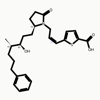 C[C@@H](CCCc1ccccc1)[C@H](O)CC[C@H]1CCC(=O)N1C/C=C\c1ccc(C(=O)O)s1